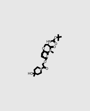 CN1C(=O)[C@@H](NC(=O)OC(C)(C)C)COc2ccc(OCC(=O)N3CCC(C)(O)CC3)cc21